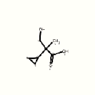 CC(CO)(C(=O)O)C1CC1